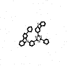 c1ccc(-c2ccc3c4ccccc4n(-c4cccc(-c5nc(-c6ccccc6)nc(-c6ccc7sc8ccccc8c7c6)n5)c4)c3c2)cc1